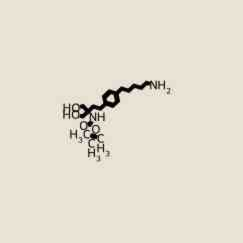 CC(C)(C)OC(=O)NC(CO)(CO)CCc1ccc(CCCCCN)cc1